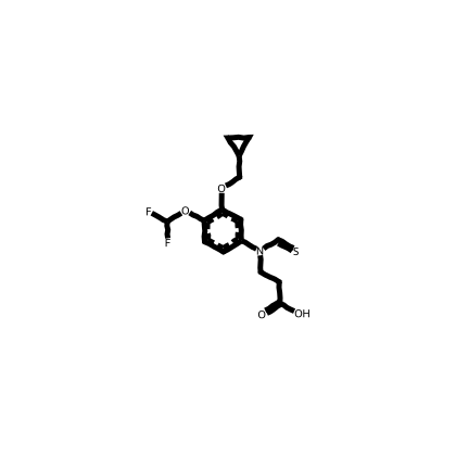 O=C(O)CCN(C=S)c1ccc(OC(F)F)c(OCC2CC2)c1